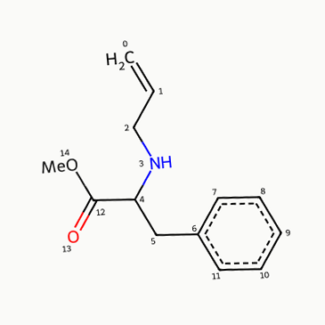 C=CCNC(Cc1ccccc1)C(=O)OC